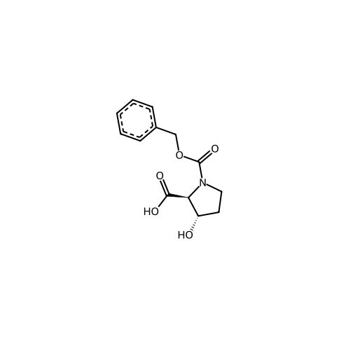 O=C(O)[C@@H]1[C@@H](O)CCN1C(=O)OCc1ccccc1